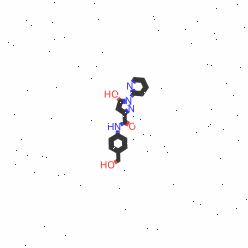 O=C(Nc1ccc(CO)cc1)c1cc(O)n(-c2ccccn2)n1